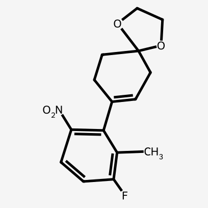 Cc1c(F)ccc([N+](=O)[O-])c1C1=CCC2(CC1)OCCO2